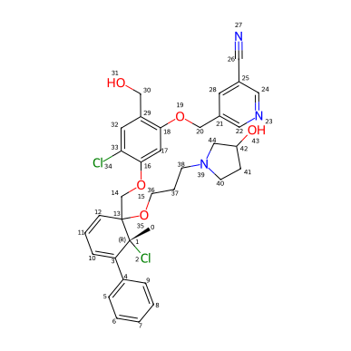 C[C@@]1(Cl)C(c2ccccc2)=CC=CC1(COc1cc(OCc2cncc(C#N)c2)c(CO)cc1Cl)OCCCN1CCC(O)C1